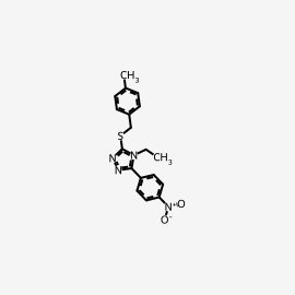 CCn1c(SCc2ccc(C)cc2)nnc1-c1ccc([N+](=O)[O-])cc1